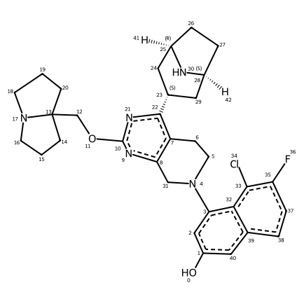 Oc1cc(N2CCc3c(nc(OCC45CCCN4CCC5)nc3[C@@H]3C[C@H]4CC[C@@H](C3)N4)C2)c2c(Cl)c(F)ccc2c1